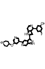 Oc1cc(F)cc(-c2nccc3[nH]c(-c4n[nH]c5cnc(-c6cncc(OC7CCNCC7)c6)cc45)cc23)c1